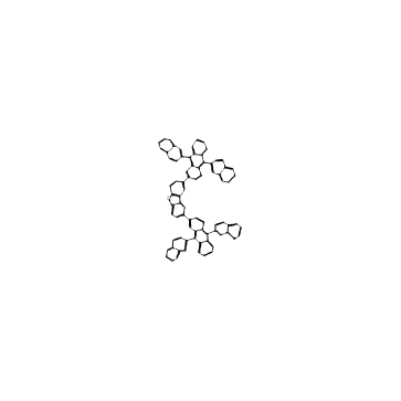 c1ccc2cc(-c3c4ccccc4c(-c4ccc5ccccc5c4)c4cc(-c5ccc6sc7ccc(-c8ccc9c(-c%10ccc%11ccccc%11c%10)c%10ccccc%10c(-c%10ccc%11ccccc%11c%10)c9c8)cc7c6c5)ccc34)ccc2c1